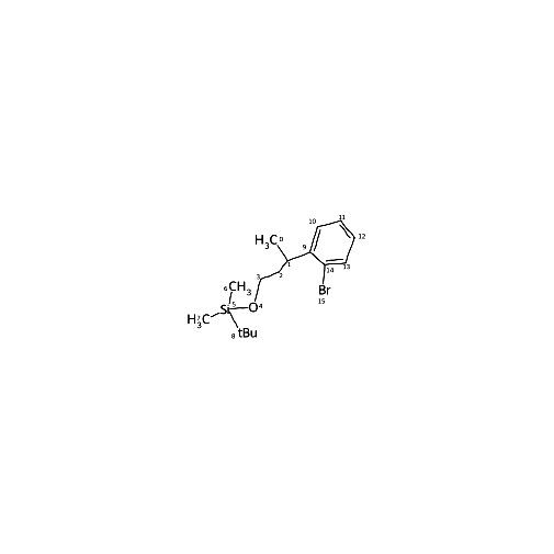 CC(CCO[Si](C)(C)C(C)(C)C)c1ccccc1Br